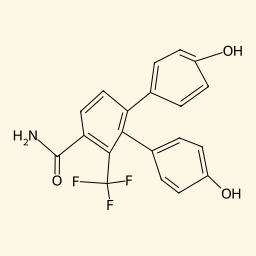 NC(=O)c1ccc(-c2ccc(O)cc2)c(-c2ccc(O)cc2)c1C(F)(F)F